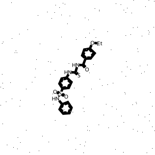 CCOc1ccc(C(=O)NC(=S)Nc2ccc(S(=O)(=O)Nc3ccccc3)cc2)cc1